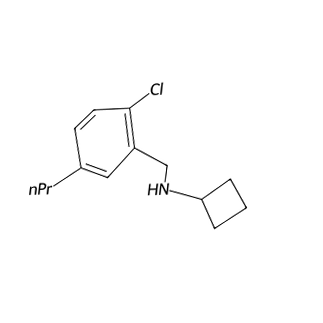 CCCc1ccc(Cl)c(CNC2CCC2)c1